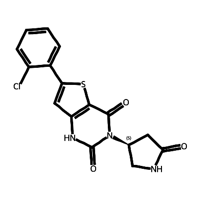 O=C1C[C@H](n2c(=O)[nH]c3cc(-c4ccccc4Cl)sc3c2=O)CN1